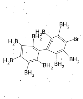 Bc1c(B)c(B)c(-c2c(B)c(B)c(Br)c(B)c2B)c(B)c1B